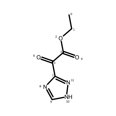 CCOC(=O)C(=O)c1nc[nH]n1